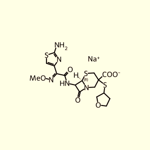 CON=C(C(=O)NC1C(=O)N2CC(SC3CCOC3)(C(=O)[O-])CS[C@H]12)c1csc(N)n1.[Na+]